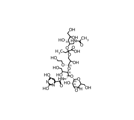 CC[C@@](OCC(O)[C@@H](OCCO)O[C@H](C(O)CO)[C@@H](CNC(=O)c1cc(O)nc(O)n1)O[C@@H]1OC(CO)[C@H]2OC2[C@@H]1O)(OC(CNC(C)=O)[C@H](O)[C@H](O)CO)C(=O)O